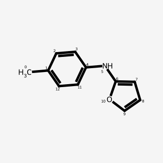 Cc1ccc(Nc2ccco2)cc1